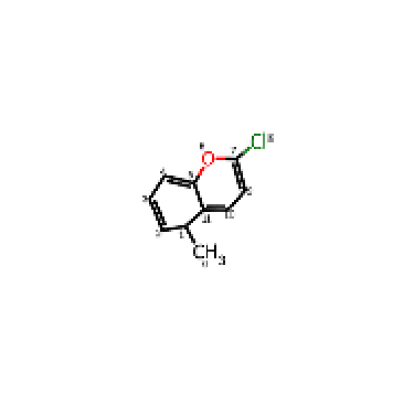 CC1C=CC=C2OC(Cl)=CC=C21